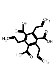 C=CCc1c(C(=O)O)c(CC=C)c(C(=O)O)c(CC=C)c1C(=O)O